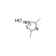 Cc1csc(C)n1.Cl.N